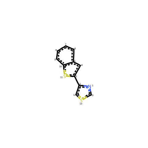 [c]1nc(-c2cc3ccccc3s2)cs1